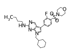 CCCCNc1ncc2c(-c3ccc(S(=O)(=O)N4CCOCC4)c(F)c3)cn(CC3CCCCC3)c2n1